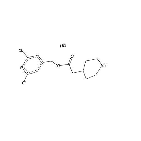 Cl.O=C(CC1CCNCC1)OCc1cc(Cl)nc(Cl)c1